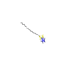 CCCCCCCCCCCCCCCCCCSC(=S)N(C(C)C)C(C)C